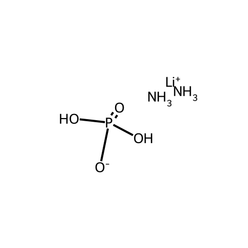 N.N.O=P([O-])(O)O.[Li+]